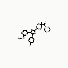 CC(C)Nc1nccc(-c2[nH]c(C3OCC(C)(C(=O)N4CCCCC4)CO3)nc2-c2ccc(F)cc2)n1